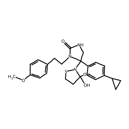 COc1ccc(CCN2C(=O)NCC2(c2ccc(C3CC3)cc2)N2SCCC2(O)O)cc1